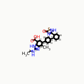 CCNc1nc2c(C)c(-c3ccc(-c4ccccc4-c4nc(=O)s[nH]4)cc3)cc(C(=O)O)c2[nH]1